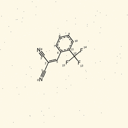 N#CC(C#N)=Cc1ccccc1C(F)(F)F